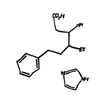 CCCC(CC(=O)O)C(CC)CCc1ccccc1.c1c[nH]cn1